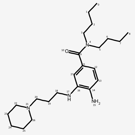 CCCCN(CCCC)C(=O)c1ccc(N)c(NCCCN2CCCCC2)c1